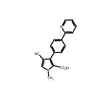 CCOC(=O)c1c(-c2ccc(-c3ccccn3)cc2)c(C#N)cn1C